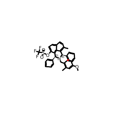 COc1ccc(CN2[C@H](c3ccccc3)c3c(C)ccc4ccc(OS(=O)(=O)C(F)(F)F)c(c34)[C@@H]2c2ccccc2)c(C)c1